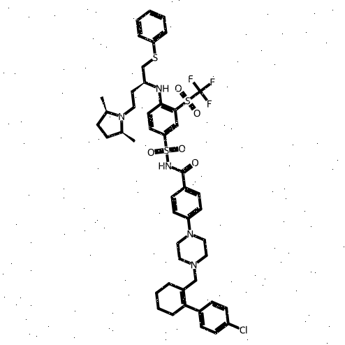 C[C@@H]1CC[C@H](C)N1CC[C@@H](CSc1ccccc1)Nc1ccc(S(=O)(=O)NC(=O)c2ccc(N3CCN(CC4=C(c5ccc(Cl)cc5)CCCC4)CC3)cc2)cc1S(=O)(=O)C(F)(F)F